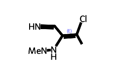 CNN/C(C=N)=C(\C)Cl